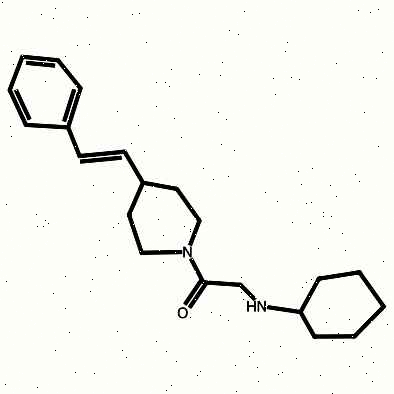 O=C(CNC1CCCCC1)N1CCC(/C=C/c2ccccc2)CC1